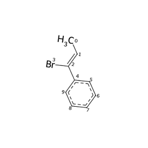 CC=C(Br)c1ccccc1